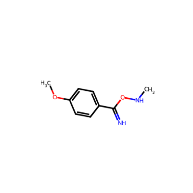 CNOC(=N)c1ccc(OC)cc1